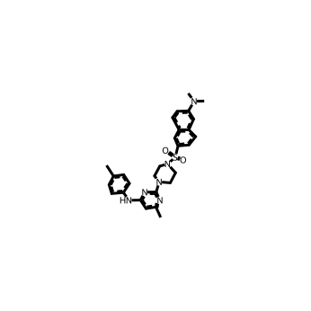 Cc1ccc(Nc2cc(C)nc(N3CCN(S(=O)(=O)c4ccc5cc(N(C)C)ccc5c4)CC3)n2)cc1